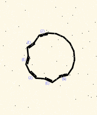 [C]1=C/C=C/C=C\C=C\C=C\C=C/CCCCCC/1